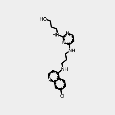 OCCCNc1nccc(NCCCNc2ccnc3cc(Cl)ccc23)n1